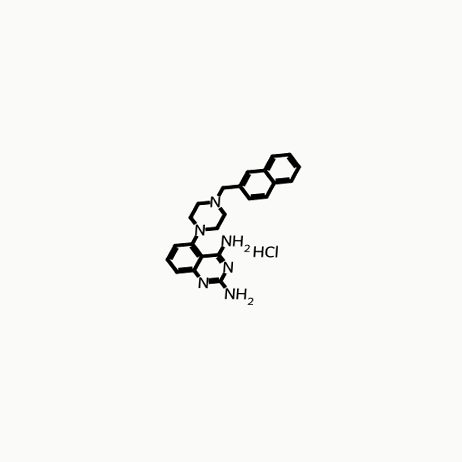 Cl.Nc1nc(N)c2c(N3CCN(Cc4ccc5ccccc5c4)CC3)cccc2n1